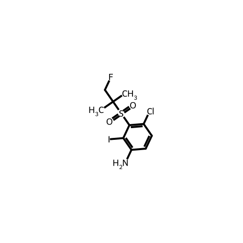 CC(C)(CF)S(=O)(=O)c1c(Cl)ccc(N)c1I